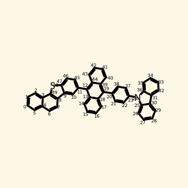 c1ccc2c(c1)ccc1c3cc(-c4c5ccccc5c(-c5ccc(-n6c7ccccc7c7ccccc76)cc5)c5ccccc45)ccc3sc21